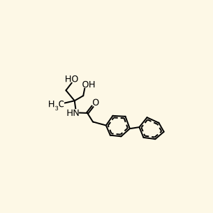 CC(CO)(CO)NC(=O)Cc1ccc(-c2ccccc2)cc1